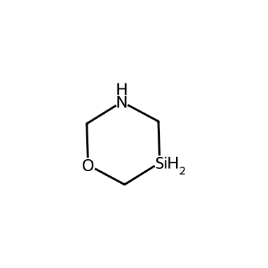 C1NC[SiH2]CO1